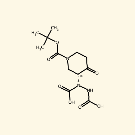 CC(C)(C)OC(=O)N1CCC(=O)[C@H](N(NC(=O)O)C(=O)O)C1